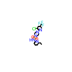 CCc1cccc(NS(=O)(=O)N2CCN(c3ncc(C(F)(F)F)cc3Cl)CC2)n1